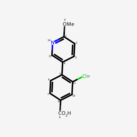 COc1ccc(-c2ccc(C(=O)O)cc2Cl)cn1